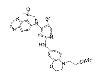 COCCN1CCOc2cc(Nc3ncc(Br)c(Nc4ccc5nccnc5c4P(C)(C)=O)n3)ccc21